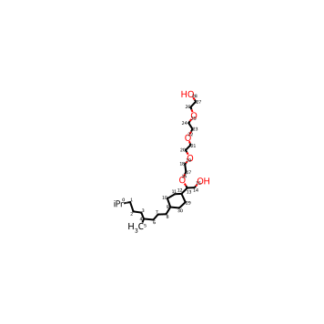 CC(C)CCCC(C)CCCC1CCC(C(CO)OCCOCCOCCOCCO)CC1